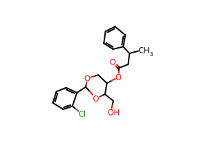 CC(CC(=O)OC1COC(c2ccccc2Cl)OC1CO)c1ccccc1